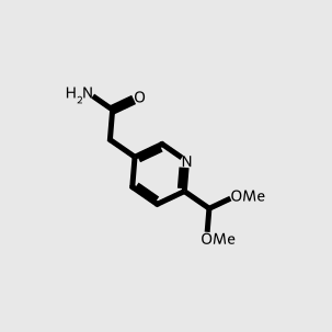 COC(OC)c1ccc(CC(N)=O)cn1